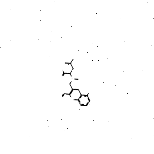 CC(C)CC(C(=O)O)N(C)CC1=C(C=O)Oc2cccc(Cl)c2C1